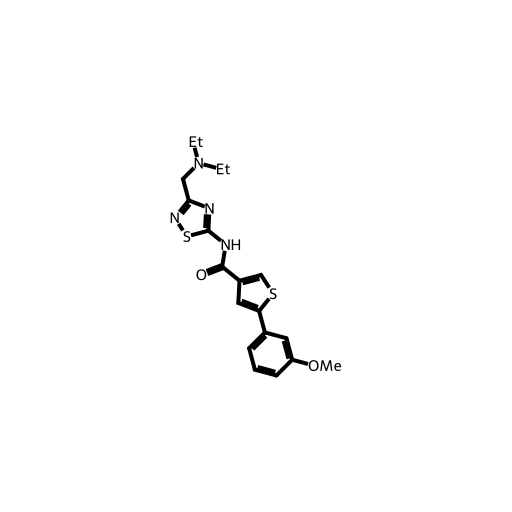 CCN(CC)Cc1nsc(NC(=O)c2csc(-c3cccc(OC)c3)c2)n1